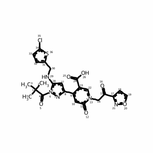 CC(C)(C)C(=O)n1nc(-c2cc(=O)n(CC(=O)c3ccon3)cc2C(=O)O)cc1NCc1ccc(Cl)s1